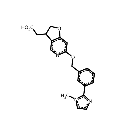 Cn1ccnc1-c1cccc(COc2cc3c(cn2)C(CC(=O)O)CO3)c1